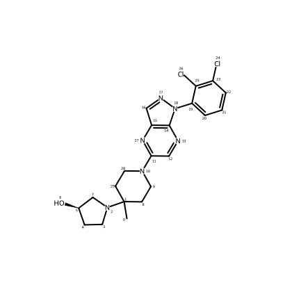 CC1(N2CC[C@@H](O)C2)CCN(c2cnc3c(cnn3-c3cccc(Cl)c3Cl)n2)CC1